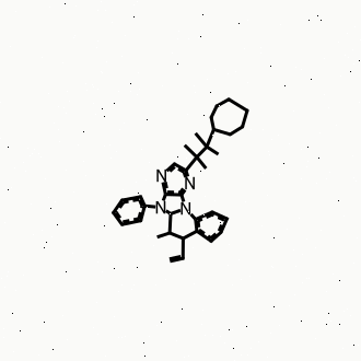 C=CC1c2ccccc2N2c3nc(C(C)(C)C(C)(C)C4CCCCCC4)cnc3N(c3ccccc3)C2C1C